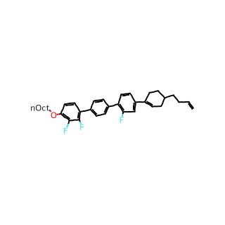 C=CCCC1CC=C(c2ccc(-c3ccc(-c4ccc(OCCCCCCCC)c(F)c4F)cc3)c(F)c2)CC1